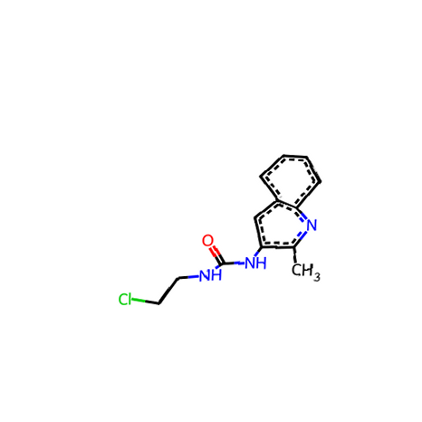 Cc1nc2ccccc2cc1NC(=O)NCCCl